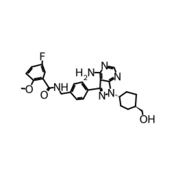 COc1ccc(F)cc1C(=O)NCc1ccc(-c2nn([C@H]3CC[C@H](CO)CC3)c3ncnc(N)c23)cc1